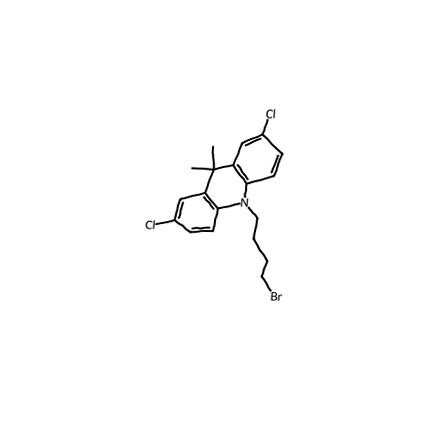 CC1(C)c2cc(Cl)ccc2N(CCCCBr)c2ccc(Cl)cc21